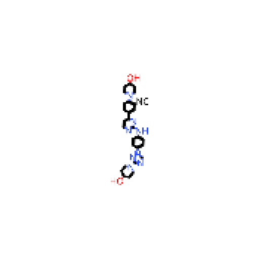 [C-]#[N+]c1cc(-c2ccnc(Nc3ccc(-n4cnc(N5CCC(O)CC5)n4)cc3)n2)ccc1N1CCC(O)CC1